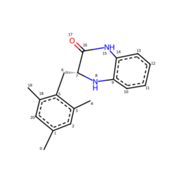 Cc1cc(C)c(C[C@H]2Nc3ccccc3NC2=O)c(C)c1